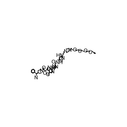 C#CCOCCOCCOCCOCCN1CCN(CCNc2cc(CNC(=O)c3ncn(-c4ncc(OC)c5c(C(=O)C(=O)N6CCC(=C(C#N)c7ccccc7)CC6)c[nH]c45)n3)ncn2)CC1